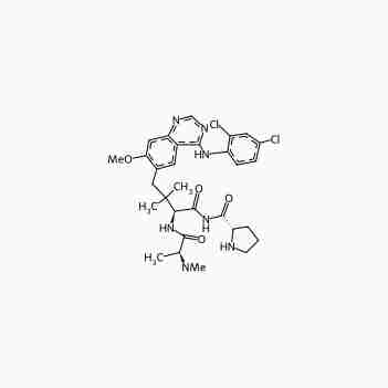 CN[C@@H](C)C(=O)N[C@H](C(=O)NC(=O)[C@@H]1CCCN1)C(C)(C)Cc1cc2c(Nc3ccc(Cl)cc3Cl)ncnc2cc1OC